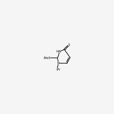 CSC1NC(=S)C=CN1C(C)C